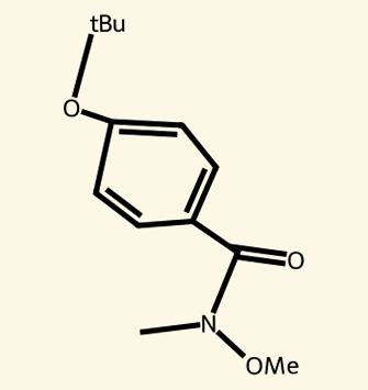 CON(C)C(=O)c1ccc(OC(C)(C)C)cc1